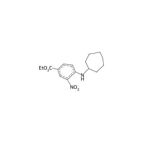 CCOC(=O)c1ccc(NC2CCCCCC2)c([N+](=O)[O-])c1